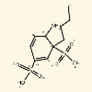 CCCCC1(S(=O)(=O)O)C=C(S(=O)(=O)O)C=CC1N